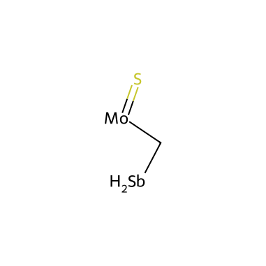 [S]=[Mo][CH2][SbH2]